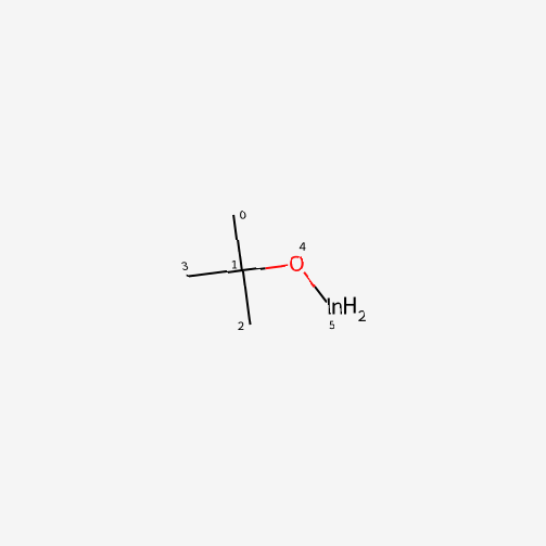 CC(C)(C)[O][InH2]